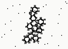 c1cc(-c2ccc3c(c2)oc2ccccc23)cc(N(c2cc3ccccc3c3ccccc23)c2cccc3c2oc2ccccc23)c1